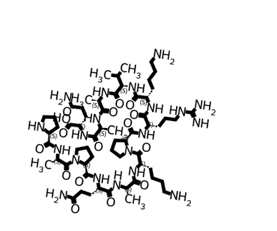 CC(C)[C@H](NC(=O)[C@H](CCCCN)NC(=O)[C@H](CCCNC(=N)N)NC(=O)[C@@H]1CCCN1C(=O)[C@H](CCCCN)NC(=O)[C@H](C)NC(=O)[C@H](CCC(N)=O)NC(=O)[C@@H]1CCCN1C(=O)[C@H](C)NC(=O)[C@@H]1CCCN1)C(=O)N[C@@H](C)C(=O)N[C@@H](C)C(=O)N[C@@H](CCC(N)=O)C(=O)O